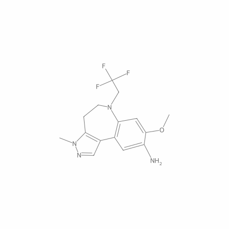 COc1cc2c(cc1N)-c1cnn(C)c1CCN2CC(F)(F)F